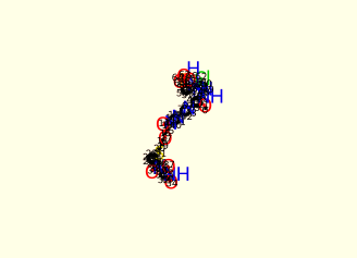 COc1cc(N2CCC(N3CCN(C(=O)CCOCCCSc4cccc5c4CN(C4CCC(=O)NC4=O)C5=O)CC3)CC2)ccc1Nc1ncc(Cl)c(Nc2ccccc2P(=O)(OC)OC)n1